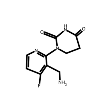 NCc1c(F)ccnc1N1CCC(=O)NC1=O